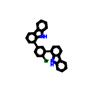 Brc1ccc(-c2cccc3c2[nH]c2ccccc23)cc1-c1cccc2c1[nH]c1ccccc12